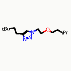 CC(C)CCOCCn1cc(CCC(C)(C)C)nn1